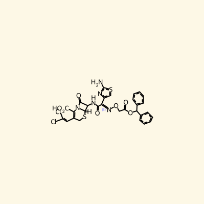 Nc1nc(/C(=N\OCC(=O)OC(c2ccccc2)c2ccccc2)C(=O)NC2C(=O)N3C(C(=O)O)=C(C=C(Cl)Cl)CS[C@H]23)cs1